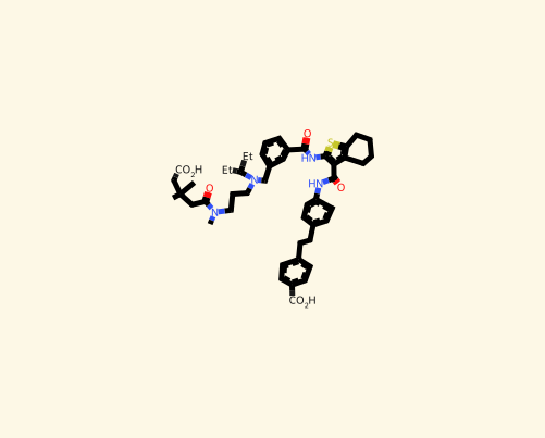 CCC(CC)N(CCCN(C)C(=O)CC(C)(C)CC(=O)O)Cc1cccc(C(=O)Nc2sc3c(c2C(=O)Nc2ccc(CCc4ccc(C(=O)O)cc4)cc2)CCCC3)c1